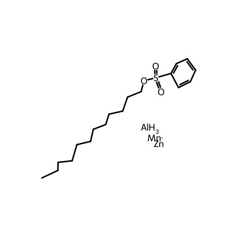 CCCCCCCCCCCCOS(=O)(=O)c1ccccc1.[AlH3].[Mn].[Zn]